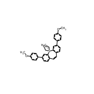 CCS1(CC)c2cc(-c3ccc(OC)cc3)ccc2C=Cc2ccc(-c3ccc(OC)cc3)cc21